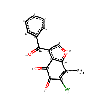 BC1=C(Br)C(=O)C(=O)c2c(C(=O)c3ccccc3)coc21